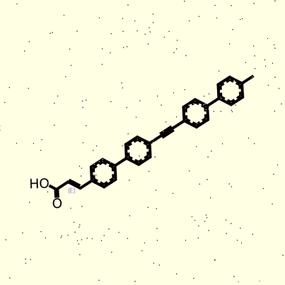 Cc1ccc(-c2ccc(C#Cc3ccc(-c4ccc(/C=C/C(=O)O)cc4)cc3)cc2)cc1